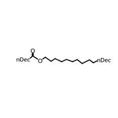 CCCCCCCCCCCCCCCCCCCCOC(=O)CCCCCCCCCC